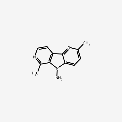 Cc1ccc2c(n1)c1ccnc(C)c1n2N